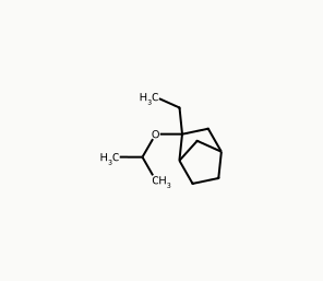 CCC1(OC(C)C)CC2CCC1C2